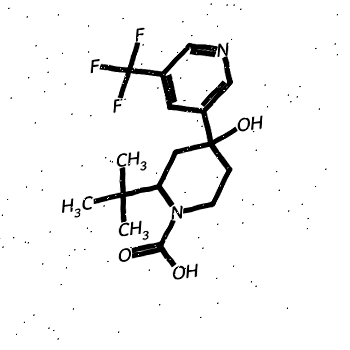 CC(C)(C)C1CC(O)(c2cncc(C(F)(F)F)c2)CCN1C(=O)O